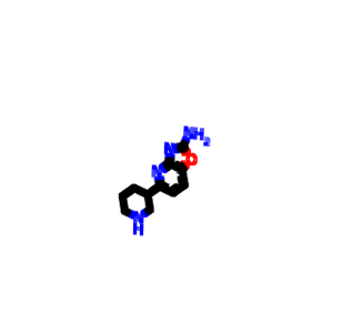 Nc1nc2nc(C3CCCNC3)ccc2o1